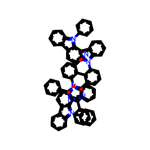 N#Cc1cccc(-n2c3ccccc3c3c2ccc2c4ccccc4n(-c4ccccc4)c23)c1-c1c(-c2nc(-c3ccccc3)nc(-c3ccccc3)n2)cccc1-n1c2ccccc2c2c1ccc1c3ccccc3n(-c3ccccc3)c12